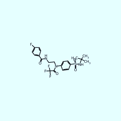 CC(C)(C)NS(=O)(=O)c1ccc(N(CCNC(=O)c2ccc(F)cc2)C(=O)C(F)(F)F)cc1